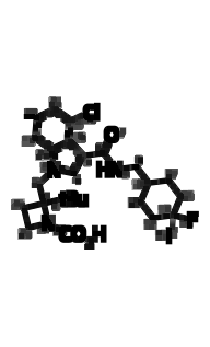 CC(C)(C)C1(Cn2cc(C(=O)NCC3CCC(F)(F)CC3)c3c(Cl)cccc32)CCN1C(=O)O